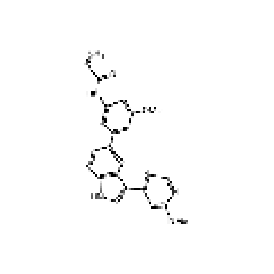 C=CC(=O)Nc1cc(OC)cc(-c2cnc3[nH]cc(-c4cc(NC)ncn4)c3c2)c1